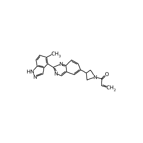 C=CC(=O)N1CC(c2ccc3nc(-c4c(C)ccc5[nH]ncc45)ncc3c2)C1